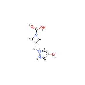 O=C(O)N1CC(Cn2cc(Br)cn2)C1